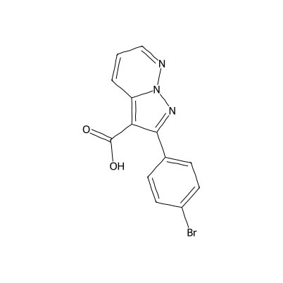 O=C(O)c1c(-c2ccc(Br)cc2)nn2ncccc12